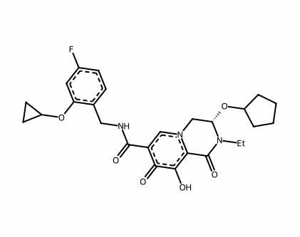 CCN1C(=O)c2c(O)c(=O)c(C(=O)NCc3ccc(F)cc3OC3CC3)cn2C[C@@H]1OC1CCCC1